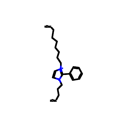 CCCCCCCCCCCCCCCCC[n+]1ccn(CCCCCCCCCCCCC)c1-c1ccccc1